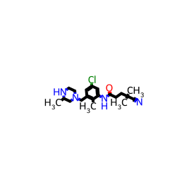 Cc1c(CN2CCNC(C)C2)cc(Cl)cc1NC(=O)CCC(C)(C)C#N